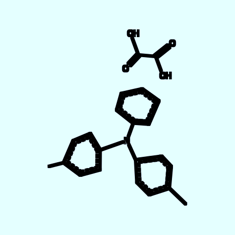 Cc1ccc(N(c2ccccc2)c2ccc(C)cc2)cc1.O=C(O)C(=O)O